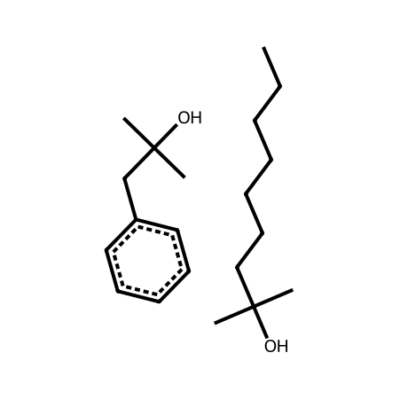 CC(C)(O)Cc1ccccc1.CCCCCCCC(C)(C)O